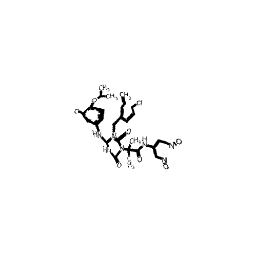 C=C/C=C(\C=C/CCl)CN1C(=O)N(C(C)(C)C(=O)NC(CN=O)CN=O)C(=O)NC1Nc1ccc(OC(C)C)c(Cl)c1